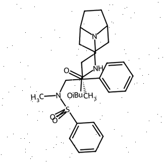 CC(C)COC(=O)NC1CC2CCC(C1)N2CC[C@](C)(CN(C)S(=O)(=O)c1ccccc1)c1ccccc1